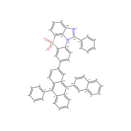 O=S1(=O)c2cc(-c3ccc4c(-c5ccccc5)c5ccccc5c(-c5ccc6ccccc6c5)c4c3)ccc2-n2c(-c3ccccc3)nc3cccc1c32